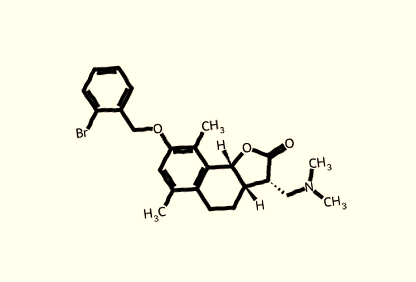 Cc1cc(OCc2ccccc2Br)c(C)c2c1CC[C@H]1[C@@H](CN(C)C)C(=O)O[C@@H]21